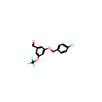 O=Cc1cc(OCc2ccc(Cl)cc2)cc(OC(F)(F)F)c1